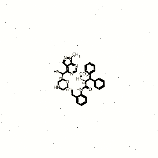 Cn1ncc2c(C(S)[C@@H]3CNC[C@@H](CCc4ccccc4NC(=O)[C@@H](NC(=O)O)C(c4ccccc4)c4ccccc4)O3)ncnc21